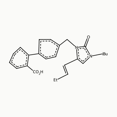 CC/C=C/c1cn(C(C)CC)c(=O)n1Cc1ccc(-c2ccccc2C(=O)O)cc1